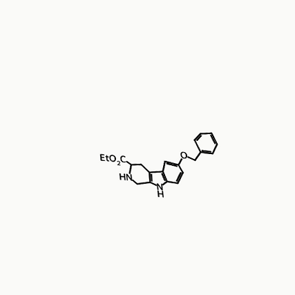 CCOC(=O)C1Cc2c([nH]c3ccc(OCc4ccccc4)cc23)CN1